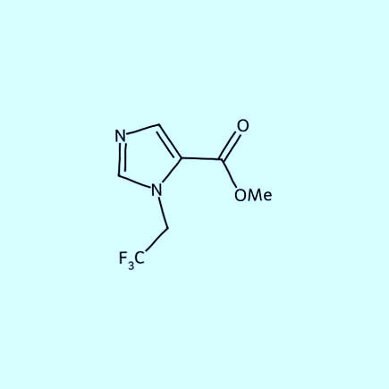 COC(=O)c1cncn1CC(F)(F)F